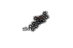 CC(C)(C)c1ccc2c(c1)C1(c3ccccc3-c3ccc(-c4ccc(N(c5ccccc5-c5ccccc5-c5ccccc5-c5ccccc5)c5cccc6c5oc5ccccc56)cc4)cc31)c1cc(C(C)(C)C)ccc1-2